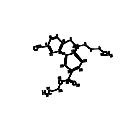 CCCCN(Cc1ccc(Cl)cc1)c1ccc(C(=O)OCC)cc1